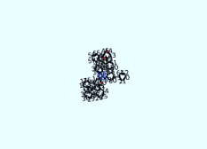 c1ccc(-c2ccc(N(c3ccc4c(c3)-c3ccccc3C43c4ccccc4-c4ccccc43)c3ccc4c(c3)C(c3ccccc3)(c3ccccc3)c3ccccc3-4)cc2)cc1